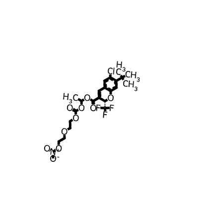 CC(OC(=O)OCCOCCO[N+](=O)[O-])OC(=O)C1=Cc2cc(Cl)c(C(C)(C)C)cc2O[C@@H]1C(F)(F)F